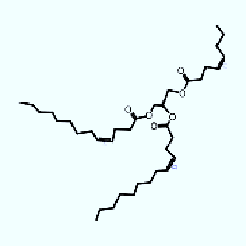 CCC/C=C\CCC(=O)OCC(COC(=O)CC/C=C\CCCCCCCC)OC(=O)CC/C=C\CCCCCCCC